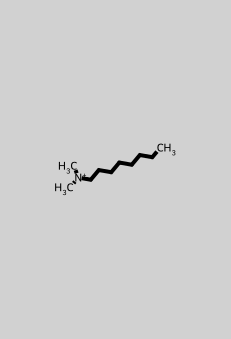 CCCCCCCC[N+](C)C